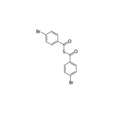 O=C(SC(=O)c1ccc(Br)cc1)c1ccc(Br)cc1